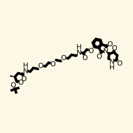 C[C@@H](CC(=O)NCCCOCCOCCOCCCNC(=O)COc1cccc2c1C(=O)N(C1CNC(=O)CC1=O)C2=O)C(=O)OC(C)(C)C